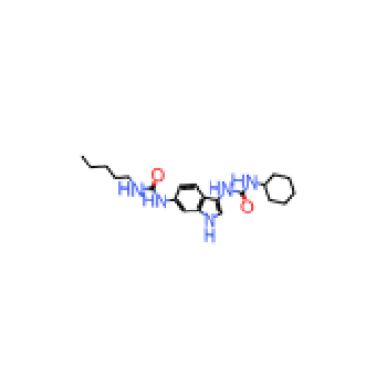 CCCCCNC(=O)Nc1ccc2c(NC(=O)NC3CCCCC3)c[nH]c2c1